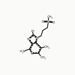 CCc1nc2c(N)nc(C)c(C)c2n1CCCS(C)(=O)=O